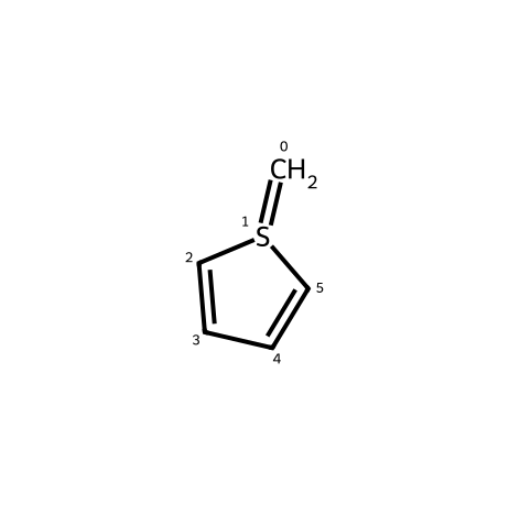 C=S1C=CC=C1